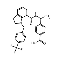 CC(NC(=O)c1cccc2c1N(Cc1ccc(C(F)(F)F)cc1)CC2)c1ccc(C(=O)O)cc1